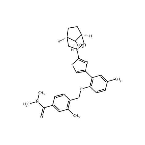 Cc1ccc(OCc2ccc(C(=O)N(C)C)cc2C)c(-c2csc(N3C[C@H]4CC[C@@H](C3)[C@H]4C(=O)O)n2)c1